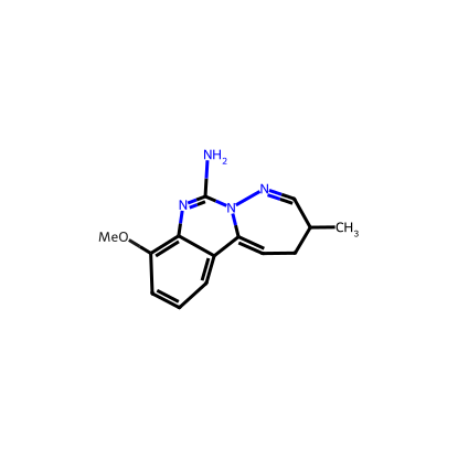 COc1cccc2c1N=C(N)N1N=CC(C)CC=C21